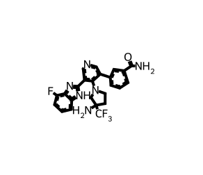 NC(=O)c1cccc(-c2cncc(-c3nc4c(F)cccc4[nH]3)c2N2CCC(N)(C(F)(F)F)C2)c1